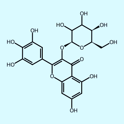 O=c1c(O[C@@H]2O[C@H](CO)[C@H](O)C(O)C2O)c(-c2cc(O)c(O)c(O)c2)oc2cc(O)cc(O)c12